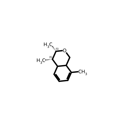 CC1=CC=CC2C1CO[C@@H](C)[C@H]2C